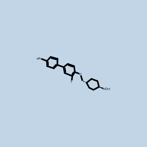 CCCCCCCC[C@H]1CC[C@H](COc2ccc(-c3ccc(CCC)cc3)cc2F)CC1